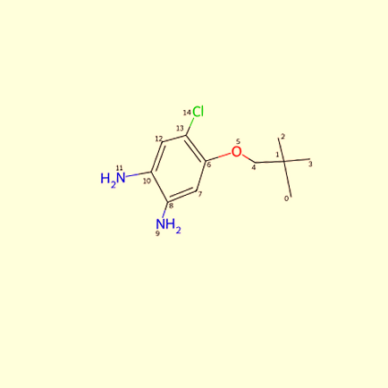 CC(C)(C)COc1cc(N)c(N)cc1Cl